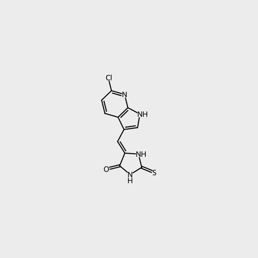 O=C1NC(=S)NC1=Cc1c[nH]c2nc(Cl)ccc12